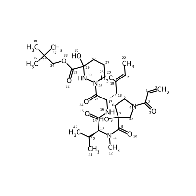 C=CC(=O)N1CCC(O)(C(=O)N(C)[C@H](C(=O)N[C@@H](C/C(C)=C/C)C(=O)N2CCCC(O)(C(=O)OCC(C)(C)C)N2)C(C)C)C1